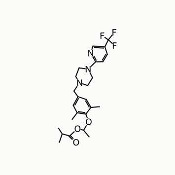 Cc1cc(CN2CCN(c3ccc(C(F)(F)F)cn3)CC2)cc(C)c1OC(C)OC(=O)C(C)C